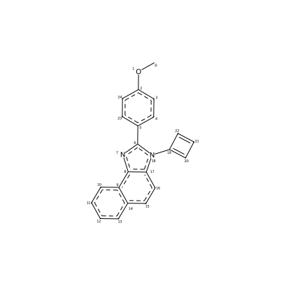 COc1ccc(-c2nc3c4ccccc4ccc3n2C2=CC=C2)cc1